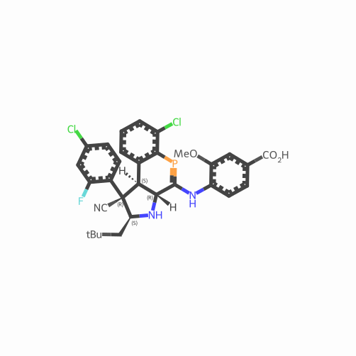 COc1cc(C(=O)O)ccc1NC1=Pc2c(Cl)cccc2[C@H]2[C@H]1N[C@@H](CC(C)(C)C)[C@]2(C#N)c1ccc(Cl)cc1F